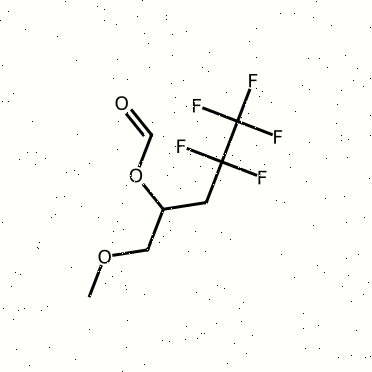 COCC(CC(F)(F)C(F)(F)F)OC=O